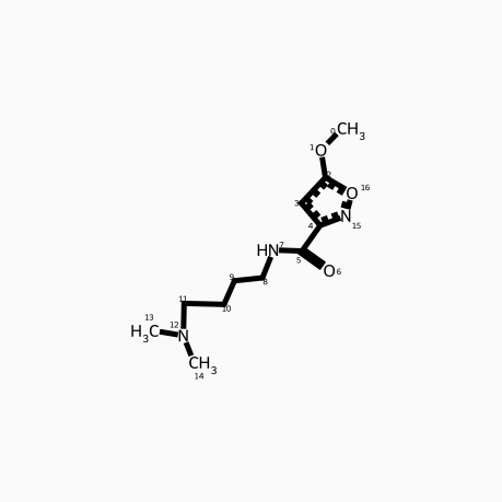 COc1cc(C(=O)NCCCCN(C)C)no1